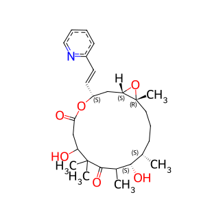 CC1C(=O)C(C)(C)C(O)CC(=O)O[C@H](C=Cc2ccccn2)C[C@@H]2O[C@]2(C)CCC[C@H](C)[C@@H]1O